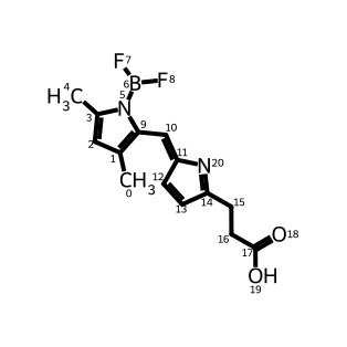 Cc1cc(C)n(B(F)F)c1C=C1C=CC(CCC(=O)O)=N1